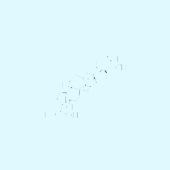 C[C@H](N)C(=O)NC1CC[C@@]2(C)C(CC[C@H]3[C@@H]4CC[C@H]([C@H](C)O)[C@@]4(C)CC[C@@H]32)C1